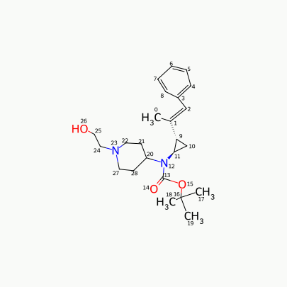 C/C(=C\c1ccccc1)[C@@H]1C[C@H]1N(C(=O)OC(C)(C)C)C1CCN(CCO)CC1